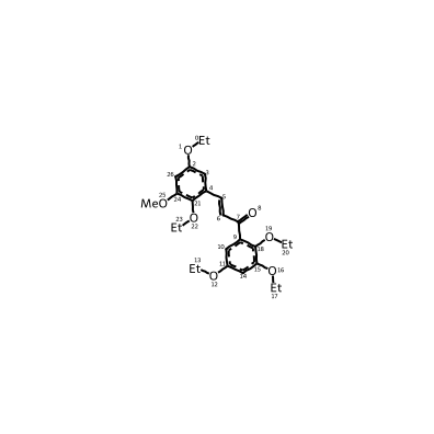 CCOc1cc(C=CC(=O)c2cc(OCC)cc(OCC)c2OCC)c(OCC)c(OC)c1